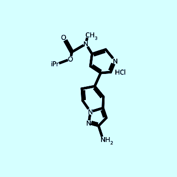 CC(C)OC(=O)N(C)c1cncc(-c2ccn3nc(N)cc3c2)c1.Cl